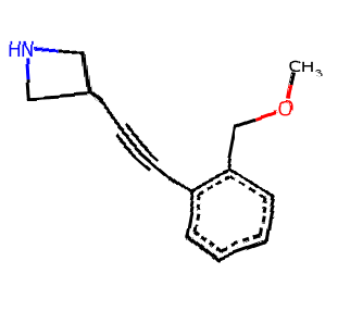 COCc1ccccc1C#CC1CNC1